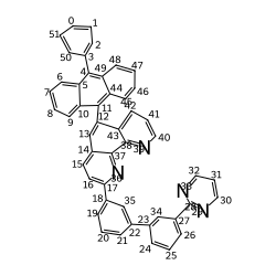 c1ccc(-c2c3ccccc3c(-c3cc4ccc(-c5cccc(-c6cccc(-c7ncccn7)c6)c5)nc4c4ncccc34)c3ccccc23)cc1